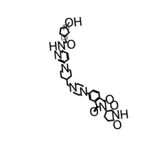 O=C1CCC(N2C(=O)c3ccc(N4CCN(CC5CCN(c6ccc(NC(=O)[C@H]7CC[C@@H](O)C7)nc6)CC5)CC4)cc3C2=O)C(=O)N1